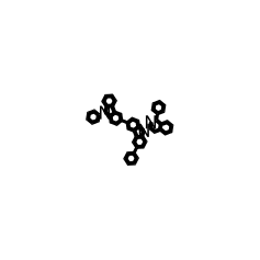 c1ccc(-c2ccc3c(c2)c2cc(-c4ccc5c(c4)c4ccccc4n5-c4ccccc4)ccc2n3-c2cc3ccccc3c(-c3ccccc3)n2)cc1